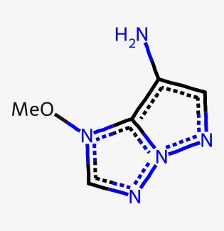 COn1cnn2ncc(N)c12